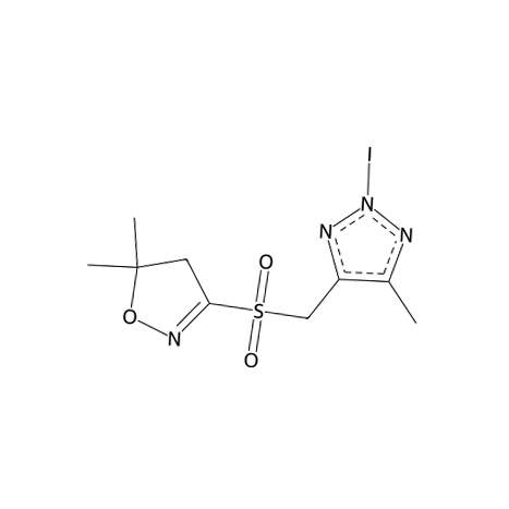 Cc1nn(I)nc1CS(=O)(=O)C1=NOC(C)(C)C1